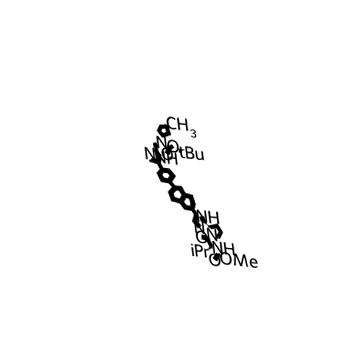 COC(=O)N[C@H](C(=O)N1CCC[C@H]1c1ncc(-c2ccc3cc(-c4ccc(-c5cnc(CN(C(=O)OC(C)(C)C)[C@H]6CC[C@@H](C)C6)[nH]5)cc4)ccc3c2)[nH]1)C(C)C